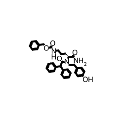 NC(=O)[C@@H](CCCNC(=O)OCc1ccccc1)N(CCc1ccc(O)cc1)C(=O)C(c1ccccc1)c1ccccc1